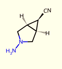 N#C[C@H]1[C@H]2CN(N)C[C@@H]12